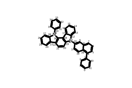 c1ccc(-c2cccc3cc(-n4c5ccccc5c5c4ccc4c6ccccc6n(-c6ccccc6)c45)ccc23)cc1